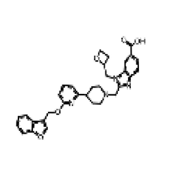 O=C(O)c1ccc2nc(CN3CCC(c4cccc(OCc5coc6ccccc56)n4)CC3)n(C[C@@H]3CCO3)c2c1